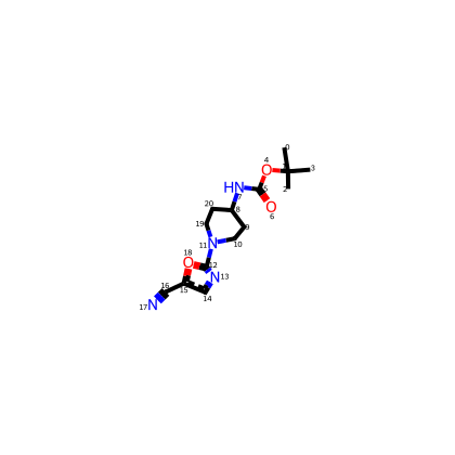 CC(C)(C)OC(=O)NC1CCN(c2ncc(C#N)o2)CC1